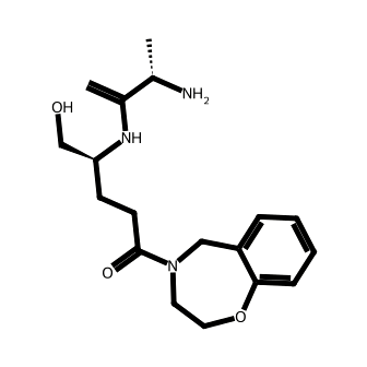 C=C(N[C@H](CO)CCC(=O)N1CCOc2ccccc2C1)[C@H](C)N